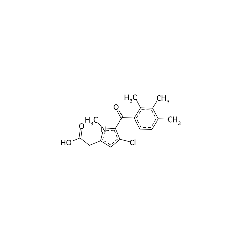 Cc1ccc(C(=O)c2c(Cl)cc(CC(=O)O)n2C)c(C)c1C